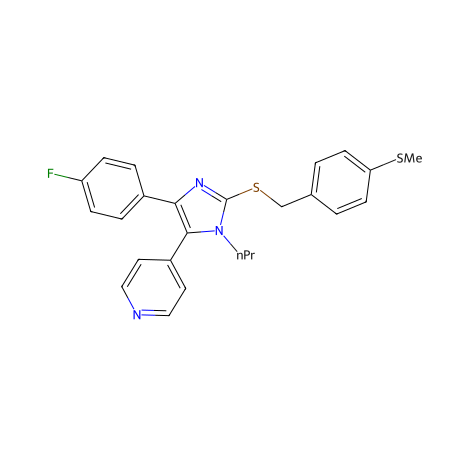 CCCn1c(SCc2ccc(SC)cc2)nc(-c2ccc(F)cc2)c1-c1ccncc1